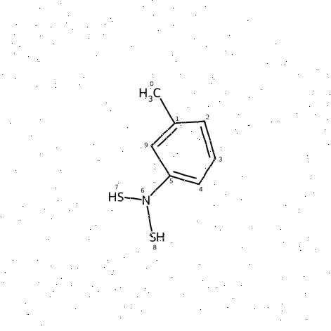 Cc1cccc(N(S)S)c1